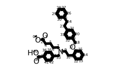 COC(=O)CCCCN(CCc1ccccc1OCc1ccc(CCc2ccccc2)cc1)Cc1ccc(C(=O)O)cc1